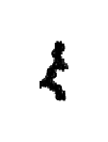 CC1(C(=O)OC(C)(C)C2CC(Oc3ccc(F)cc3C3CCN([C@@H]4COC5(C4)CN(c4nnco4)C5)CC3)C2)CC(Oc2ccc(F)cc2C2CCN([C@@H]3COC4(C3)CN(c3nnco3)C4)CC2)C1